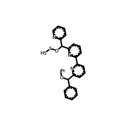 CC(C)OC(c1ccccc1)c1cccc(-c2cccc(C(OSS)c3ccccn3)n2)n1